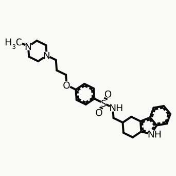 CN1CCN(CCCOc2ccc(S(=O)(=O)NCC3CCc4[nH]c5ccccc5c4C3)cc2)CC1